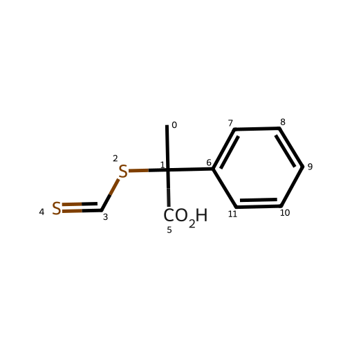 CC(SC=S)(C(=O)O)c1ccccc1